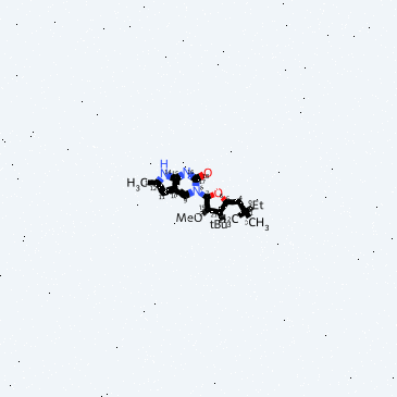 CCC(C)(C)CC1OC(n2cc3cc(C)[nH]c3nc2=O)C(OC)C1C(C)(C)C